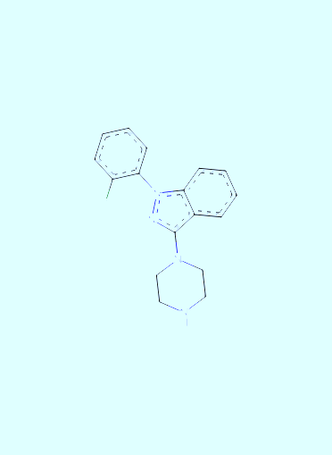 Fc1ccccc1-n1nc(N2CCNCC2)c2ccccc21